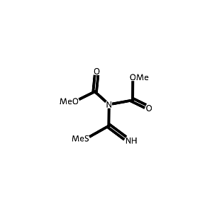 COC(=O)N(C(=N)SC)C(=O)OC